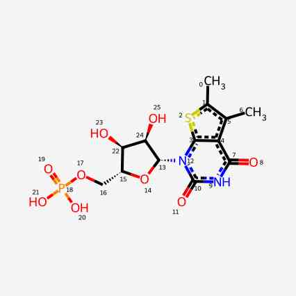 Cc1sc2c(c1C)c(=O)[nH]c(=O)n2[C@@H]1O[C@H](COP(=O)(O)O)[C@@H](O)[C@H]1O